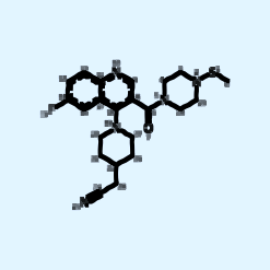 CSN1CCN(C(=O)c2cnc3ccc(F)cc3c2N2CCC(CC#N)CC2)CC1